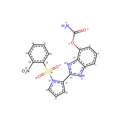 NC(=O)Oc1cccc2[nH]c(-c3cccn3S(=O)(=O)c3ccccc3[N+](=O)[O-])nc12